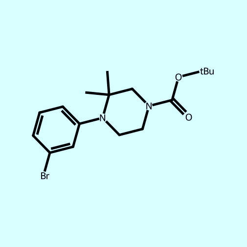 CC(C)(C)OC(=O)N1CCN(c2cccc(Br)c2)C(C)(C)C1